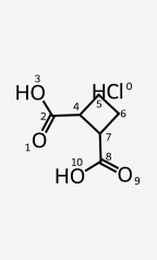 Cl.O=C(O)C1CCC1C(=O)O